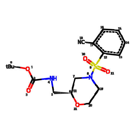 CC(C)(C)OC(=O)NC[C@@H]1CN(S(=O)(=O)c2ccccc2C#N)CCO1